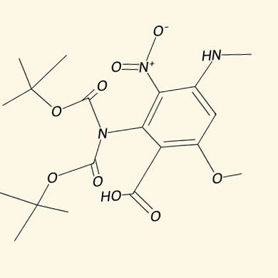 CNc1cc(OC)c(C(=O)O)c(N(C(=O)OC(C)(C)C)C(=O)OC(C)(C)C)c1[N+](=O)[O-]